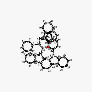 c1ccc(-c2nc3ccccc3nc2-n2c3ccccc3c3ccc4c5ccccc5n(-c5ccc6c(c5)sc5ccccc56)c4c32)cc1